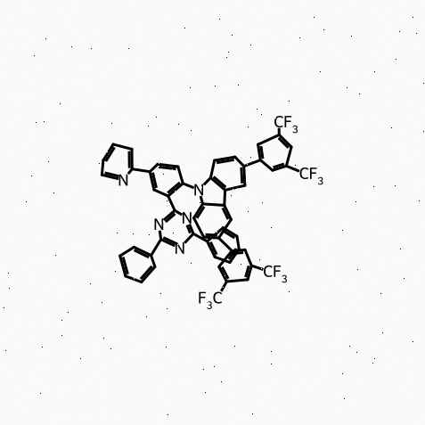 FC(F)(F)c1cc(-c2ccc3c(c2)c2cc(-c4cc(C(F)(F)F)cc(C(F)(F)F)c4)ccc2n3-c2ccc(-c3ccccn3)cc2-c2nc(-c3ccccc3)nc(-c3ccccc3)n2)cc(C(F)(F)F)c1